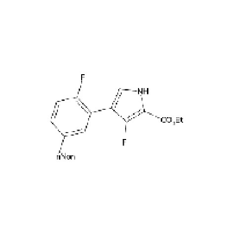 CCCCCCCCCc1ccc(F)c(-c2c[nH]c(C(=O)OCC)c2F)c1